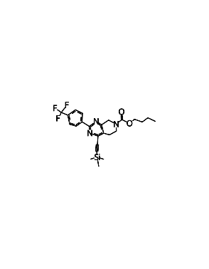 CCCCOC(=O)N1CCc2c(C#C[Si](C)(C)C)nc(-c3ccc(C(F)(F)F)cc3)nc2C1